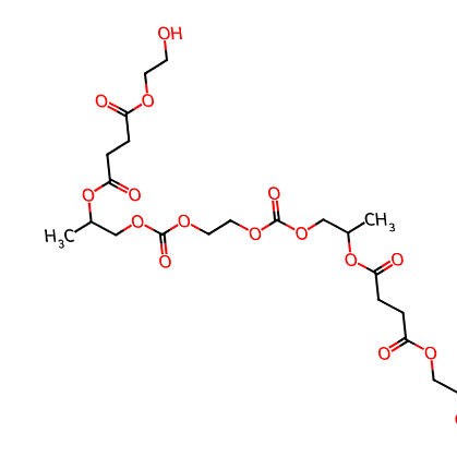 CC(COC(=O)OCCOC(=O)OCC(C)OC(=O)CCC(=O)OCCO)OC(=O)CCC(=O)OCCO